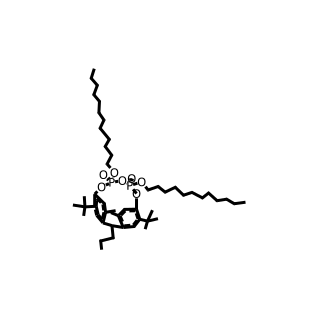 CCCCCCCCCCCCOP1(=O)Oc2cc(C)c(cc2C(C)(C)C)C(CCC)c2cc(C(C)(C)C)c(cc2C)OP(=O)(OCCCCCCCCCCCC)O1